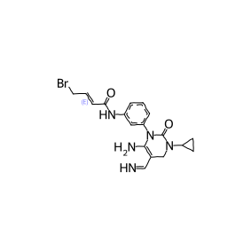 N=CC1=C(N)N(c2cccc(NC(=O)/C=C/CBr)c2)C(=O)N(C2CC2)C1